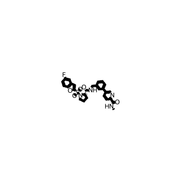 CNC(=O)c1ccc(-c2cccc(CNC(=O)[C@@H]3CCCN3S(=O)(=O)c3cc4cc(F)ccc4o3)c2)cn1